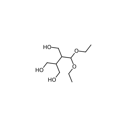 CCOC(OCC)C(CO)C(CO)CO